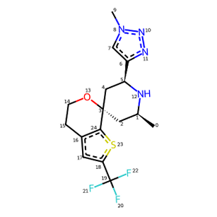 C[C@H]1C[C@@]2(C[C@@H](c3cn(C)nn3)N1)OCCc1cc(C(F)(F)F)sc12